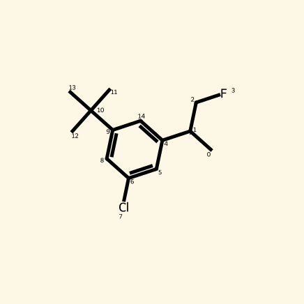 C[C](CF)c1cc(Cl)cc(C(C)(C)C)c1